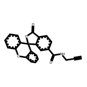 C#CCNC(=O)c1ccc2c(c1)C1(OC2=O)c2ccccc2Oc2ccccc21